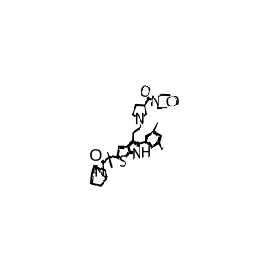 Cc1cc(C)cc(-c2[nH]c3sc(C(C)(C)C(=O)N4C5CCC4CC5)cc3c2CCN2CCC(C(=O)N3CCOCC3)C2)c1